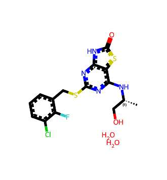 C[C@H](CO)Nc1nc(SCc2cccc(Cl)c2F)nc2[nH]c(=O)sc12.O.O